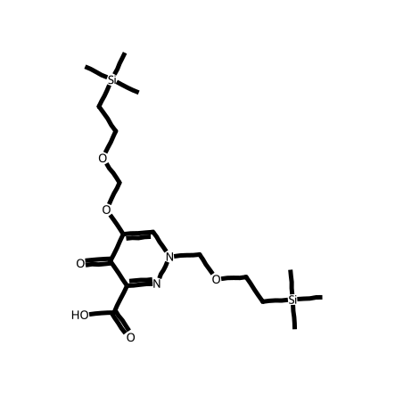 C[Si](C)(C)CCOCOc1cn(COCC[Si](C)(C)C)nc(C(=O)O)c1=O